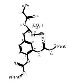 CCCCCOC(=O)Oc1ccc(C[C@](NC(C)CC)(OC(=O)CC(C)C)C(=O)O)cc1OC(=O)OCCCCC